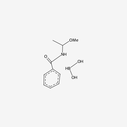 COC(C)NC(=O)c1ccccc1.OBO